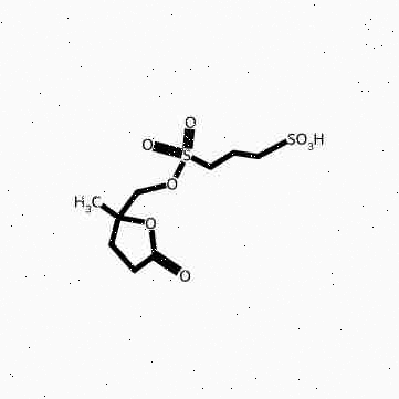 CC1(COS(=O)(=O)CCCS(=O)(=O)O)CCC(=O)O1